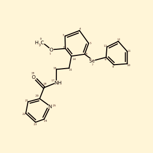 COc1cccc([Se]c2ccccc2)c1CCNC(=O)c1ccccn1